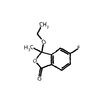 CCOC1(C)OC(=O)c2ccc(F)cc21